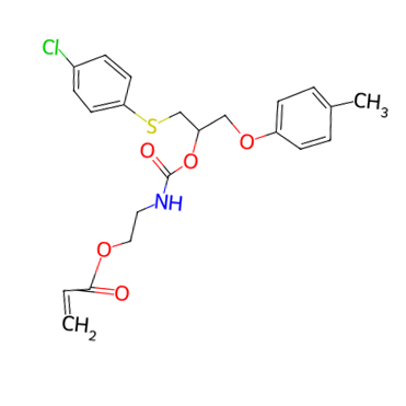 C=CC(=O)OCCNC(=O)OC(COc1ccc(C)cc1)CSc1ccc(Cl)cc1